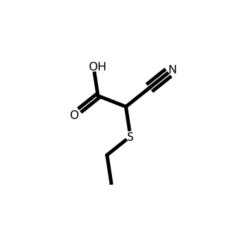 CCSC(C#N)C(=O)O